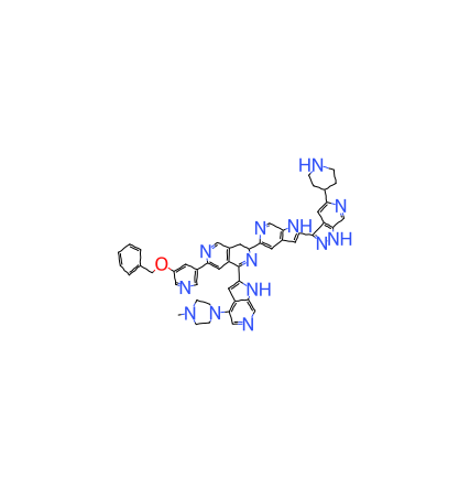 CN1CCN(c2cncc3[nH]c(C4=NC(c5cc6cc(-c7n[nH]c8cnc(C9CCNCC9)cc78)[nH]c6cn5)Cc5cnc(-c6cncc(OCc7ccccc7)c6)cc54)cc23)CC1